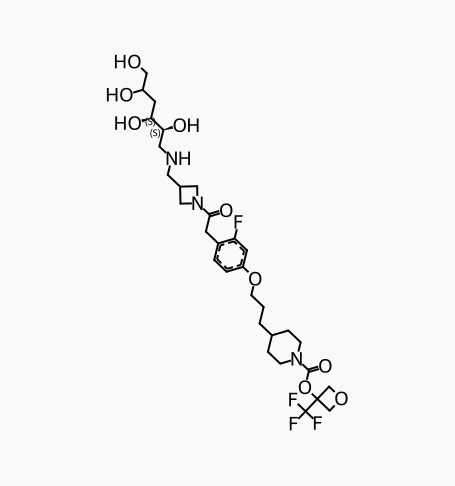 O=C(Cc1ccc(OCCCC2CCN(C(=O)OC3(C(F)(F)F)COC3)CC2)cc1F)N1CC(CNC[C@H](O)[C@@H](O)CC(O)CO)C1